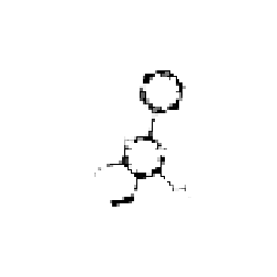 C=Cc1c(N)nc(-c2ccccc2)nc1N